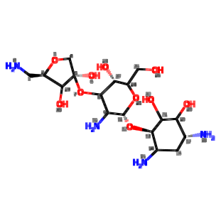 NC[C@H]1OC[C@@](O)(OC2C(N)[C@@H](O[C@@H]3C(N)C[C@@H](N)C(O)C3O)OC(CO)[C@H]2O)C1O